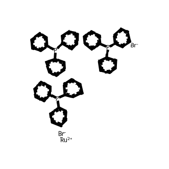 [Br-].[Br-].[Ru+2].c1ccc(P(c2ccccc2)c2ccccc2)cc1.c1ccc(P(c2ccccc2)c2ccccc2)cc1.c1ccc(P(c2ccccc2)c2ccccc2)cc1